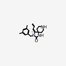 C=C/C=C1/N(Cc2cc(C)cc(C)c2)C(=O)NC12CCNCC2